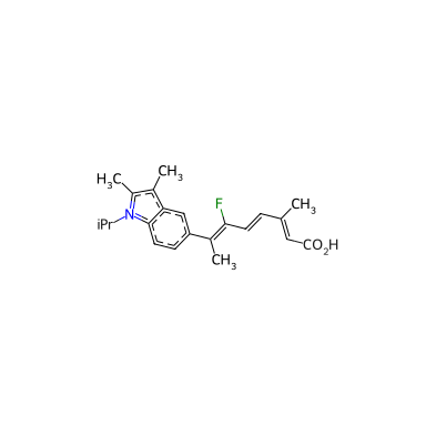 CC(C=CC(F)=C(C)c1ccc2c(c1)c(C)c(C)n2C(C)C)=CC(=O)O